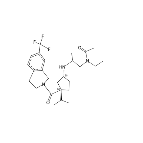 CCN(CC(C)N[C@@H]1CC[C@@](C(=O)N2CCc3ccc(C(F)(F)F)cc3C2)(C(C)C)C1)C(C)=O